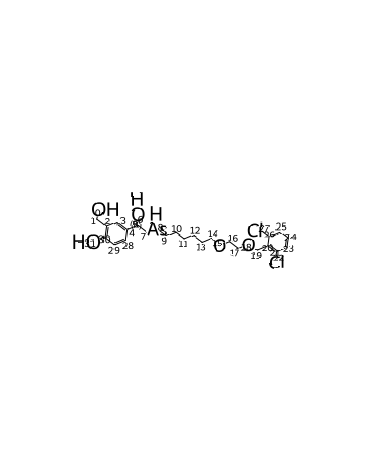 OCc1cc([C@@H](O)C[AsH]CCCCCCOCCOCc2c(Cl)cccc2Cl)ccc1O